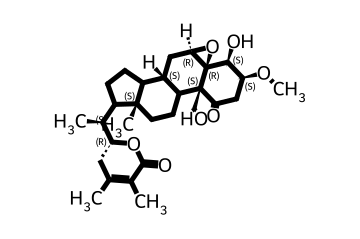 CO[C@H]1CC(=O)[C@]2(CO)C3CC[C@@]4(C)C(CCC4[C@H](C)[C@H]4CC(C)=C(C)C(=O)O4)[C@@H]3C[C@H]3O[C@]32[C@H]1O